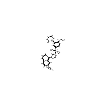 COc1ccc(S(=O)(=O)NCCc2cccc3ccc(C)cc23)cc1N1CCCCC1